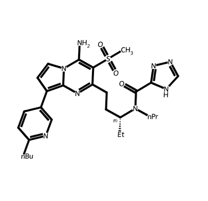 CCCCc1ccc(-c2ccn3c(N)c(S(C)(=O)=O)c(CC[C@@H](CC)N(CCC)C(=O)c4nnc[nH]4)nc23)cn1